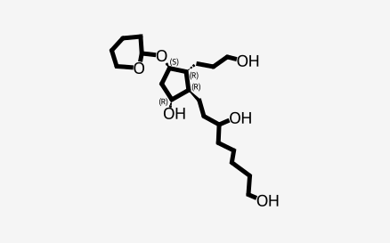 OCCCCCC(O)CC[C@@H]1[C@@H](CCCO)[C@@H](OC2CCCCO2)C[C@H]1O